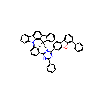 CC1(C)c2ccccc2-c2ccc3c4ccccc4n(-c4cccc(-c5nc(-c6ccccc6)nc(-c6ccc7c(c6)oc6c(-c8ccccc8)cccc67)n5)c4)c3c21